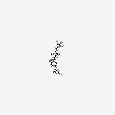 CCCCCCNC(=O)CCC1C2CCc3nnn(CCCNC(=O)CCCCCC(C)C(CC)CCCC)c3CCC12